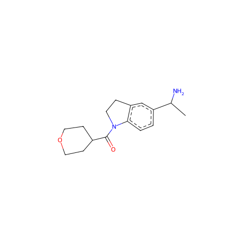 CC(N)c1ccc2c(c1)CCN2C(=O)C1CCOCC1